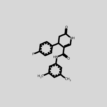 Cc1cc(C)cc(NC(=O)C2=CNC(=O)CC2c2ccc(F)cc2)c1